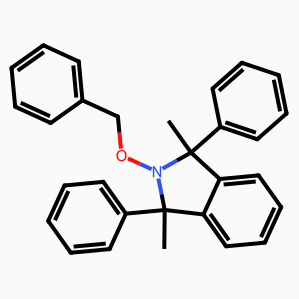 CC1(c2ccccc2)c2ccccc2C(C)(c2ccccc2)N1OCc1ccccc1